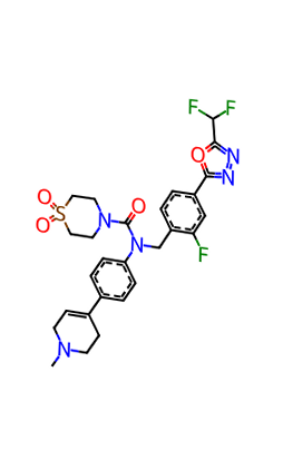 CN1CC=C(c2ccc(N(Cc3ccc(-c4nnc(C(F)F)o4)cc3F)C(=O)N3CCS(=O)(=O)CC3)cc2)CC1